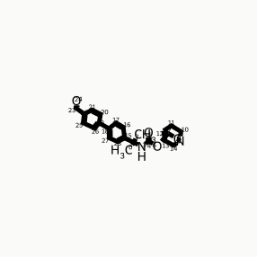 CC(C)(NC(=O)OC1CN2CCC1CC2)c1ccc(-c2ccc(C=O)cc2)cc1